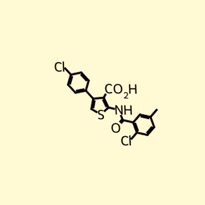 Cc1ccc(Cl)c(C(=O)Nc2scc(-c3ccc(Cl)cc3)c2C(=O)O)c1